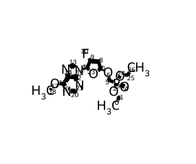 CCOP(=O)(CO[C@@H]1C=C(F)[C@H](n2cnc3c(OC)ncnc32)O1)OCC